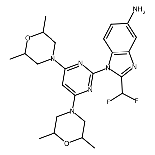 CC1CN(c2cc(N3CC(C)OC(C)C3)nc(-n3c(C(F)F)nc4cc(N)ccc43)n2)CC(C)O1